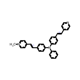 C[n+]1ccc(/C=C/c2ccc(N(c3ccccc3)c3ccc(/C=C/c4ccncc4)cc3)cc2)cc1